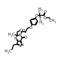 CCCC1=NN=C2C(=O)N(CCCOc3ccc(OC(C)(C)C(=O)OCC)cc3)C(C)(CC)N=C12